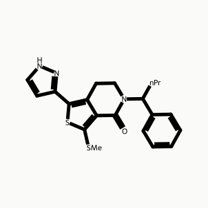 CCCC(c1ccccc1)N1CCc2c(-c3cc[nH]n3)sc(SC)c2C1=O